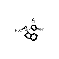 CC(C)C1=CC[C]([Zr+2]2([CH]3C=Cc4ccccc43)[CH2][CH]2C)=C1.[Cl-].[Cl-]